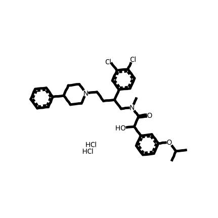 CC(C)Oc1cccc(C(O)C(=O)N(C)CC(CCN2CCC(c3ccccc3)CC2)c2ccc(Cl)c(Cl)c2)c1.Cl.Cl